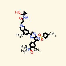 Cc1ccc(S(=O)(=O)n2cc(-c3ccc(C(=O)N(C)C)c(C)c3)c3nc(-c4cc(C)c5c(c4)CN(CCC(=O)NC4(CO)CC4)CC5)cnc32)cc1